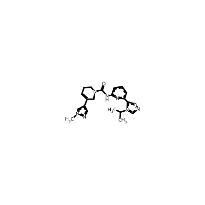 CC(C)n1cnnc1-c1cccc(NC(=O)N2CCC=C(c3cnn(C)c3)C2)n1